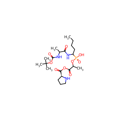 CCCCC(NC(=O)C(C)NC(=O)OC(C)(C)C)P(=O)(O)OC(C)C(=O)OC(=O)[C@@H]1CCCN1